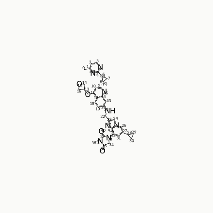 Cc1ccnc([C@H]2C[C@@H]2c2cc(OC3COC3)c3ccc(NCc4cn5cc(C6CC6)cc(N6CC(=O)N(C)C6=O)c5n4)cc3n2)n1